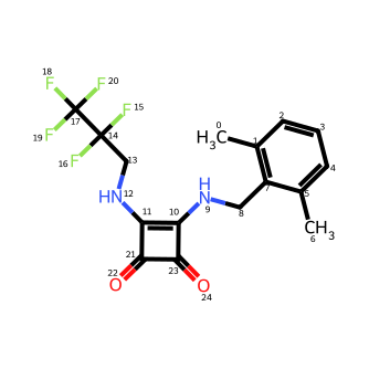 Cc1cccc(C)c1CNc1c(NCC(F)(F)C(F)(F)F)c(=O)c1=O